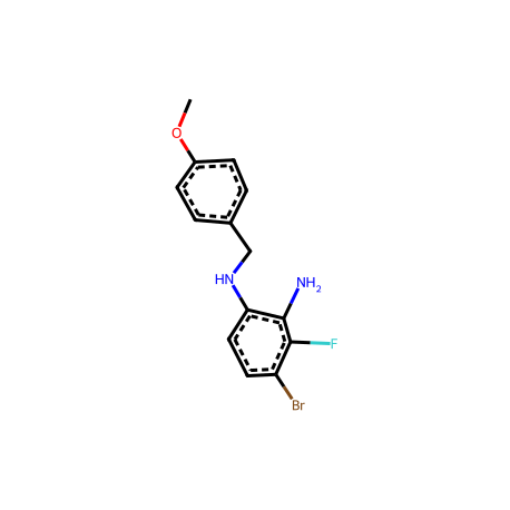 COc1ccc(CNc2ccc(Br)c(F)c2N)cc1